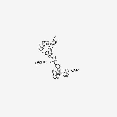 CNC(C)C(=O)NC(C(=O)N1Cc2ccc(NC(=O)CNC(=O)[C@]3(C)CN(C(=O)CN4C[C@@H](C)NC[C@@H]4CN4CCOC[C@H]4C)c4cc(Cc5ccc(F)cc5)ccc43)cc2[C@H]1C(=O)Nc1c(F)cccc1F)C(C)(C)C.Cl.Cl.Cl